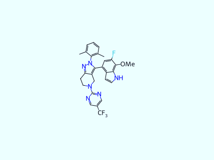 COc1c(F)cc(-c2c3c(nn2-c2c(C)cccc2C)CCN(c2ncc(C(F)(F)F)cn2)C3)c2cc[nH]c12